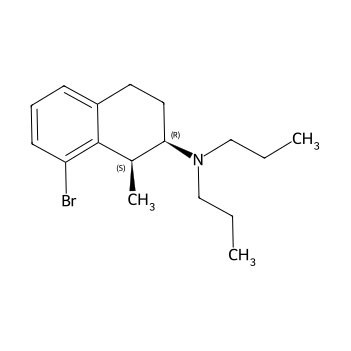 CCCN(CCC)[C@@H]1CCc2cccc(Br)c2[C@@H]1C